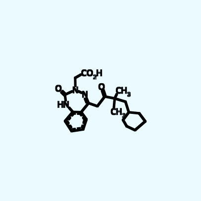 CC(C)(CC1CCCCC1)C(=O)CC1=NN(CC(=O)O)C(=O)Nc2ccccc21